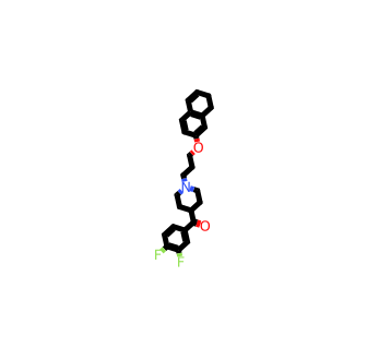 O=C(c1ccc(F)c(F)c1)C1CCN(CCCOc2ccc3c(c2)CCC=C3)CC1